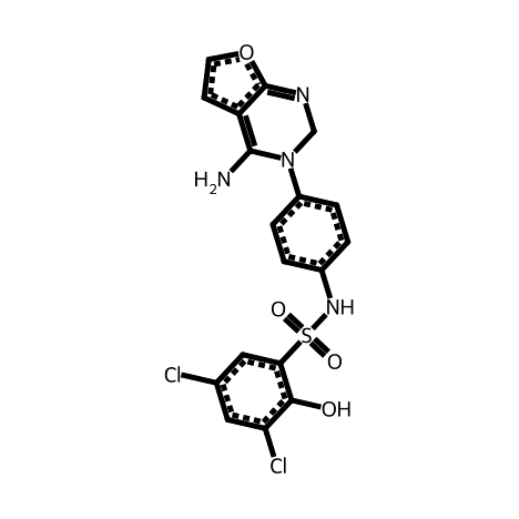 NC1=c2ccoc2=NCN1c1ccc(NS(=O)(=O)c2cc(Cl)cc(Cl)c2O)cc1